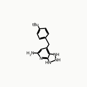 CC(C)(C)c1ccc(Cc2cc(N)nc3c2NNN3)cc1